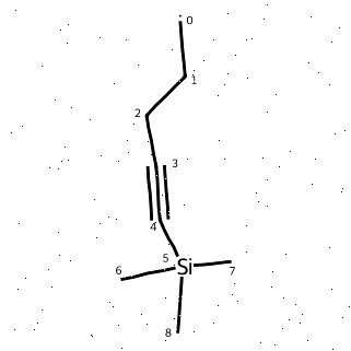 [CH2]CCC#C[Si](C)(C)C